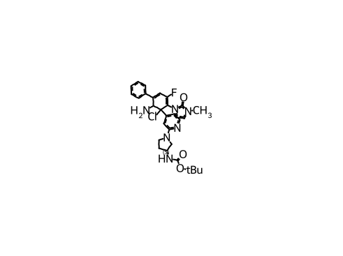 Cn1ccn(C2=C(F)C=C(c3ccccc3)C(N)C2(Cl)c2ccnc(N3CC[C@H](NC(=O)OC(C)(C)C)C3)c2)c1=O